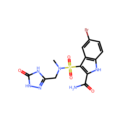 CN(Cc1n[nH]c(=O)[nH]1)S(=O)(=O)c1c(C(N)=O)[nH]c2ccc(Br)cc12